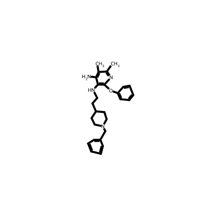 Cc1nc(Oc2ccccc2)c(NCCC2CCN(Cc3ccccc3)CC2)c(N)c1C